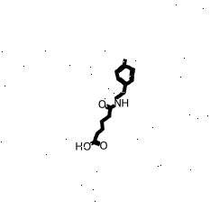 Cc1ccc(CCNC(=O)CCCCC(=O)O)cc1